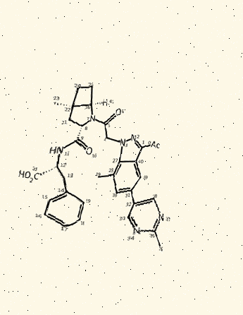 CC(=O)c1nn(CC(=O)N2[C@H](C(=O)N[C@H](Cc3ccccc3)C(=O)O)C[C@@]3(C)CC[C@@H]23)c2c(C)cc(-c3cnc(C)nc3)cc12